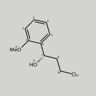 COc1ccccc1[C@@H](O)CCCl